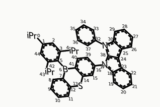 CC(C)c1cc(C(C)C)c(B2c3ccccc3Sc3cc(-n4c5ccccc5c5c6ccccc6n(-c6ccccc6)c54)ccc32)c(C(C)C)c1